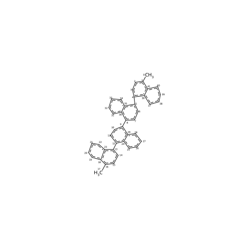 Cc1ccc(-c2ccc(-c3ccc(-c4ccc(C)c5ccccc45)c4ccccc34)c3ccccc23)c2ccccc12